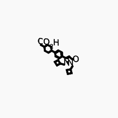 O=C(O)CC1CCC(c2ccc(-c3cc(=O)n(CC4CCC4)n3CC3CCC3)cc2)CC1